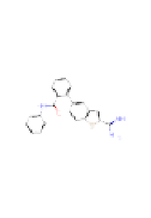 N=C(N)c1cc2cc(-c3ccccc3C(=O)Nc3ccccc3)ccc2s1